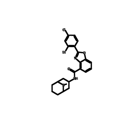 CCc1cc(Cl)ccc1-c1nc2c(C(=O)NC3CC4CCCC(C3)N4C)cccc2o1